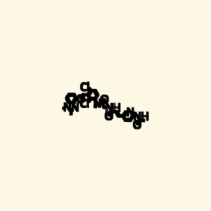 CC(=O)Nc1ccc(/C=C/C(=O)NCC(=O)N(C)c2ccc(Cl)c(COc3cccc4c3nc(C)n4C)c2Cl)cn1